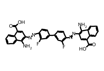 Nc1c(/N=N/c2ccc(-c3ccc(/N=N/c4cc(C(=O)O)c5ccccc5c4N)c(F)c3)cc2F)cc(C(=O)O)c2ccccc12